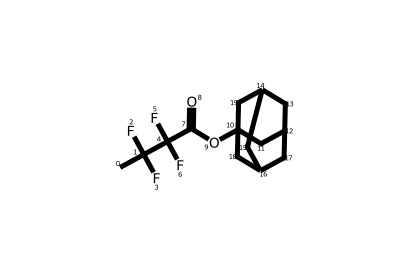 CC(F)(F)C(F)(F)C(=O)OC12CC3CC(CC(C3)C1)C2